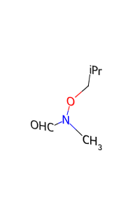 CC(C)CON(C)C=O